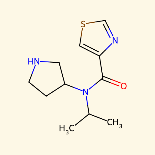 CC(C)N(C(=O)c1cscn1)C1CCNC1